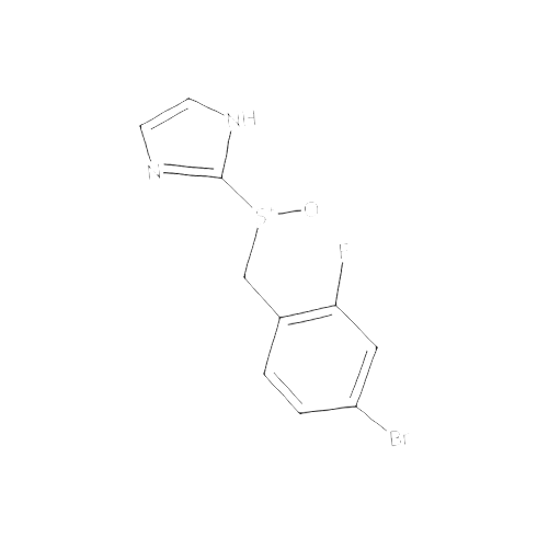 [O-][S+](Cc1ccc(Br)cc1F)c1ncc[nH]1